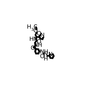 CCOC(=O)CC(NC(=O)CNC(=O)c1cccc(NC(=O)NCc2ccccn2)c1)c1cccnc1